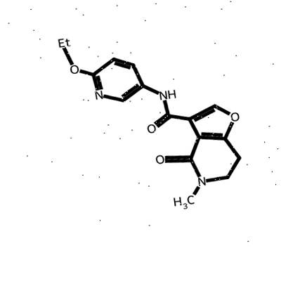 CCOc1ccc(NC(=O)c2coc3c2C(=O)N(C)CC3)cn1